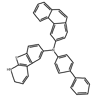 C1=Cc2c(sc3ccc(N(c4ccc(-c5ccccc5)cc4)c4ccc5ccc6ccccc6c5c4)cc23)NC1